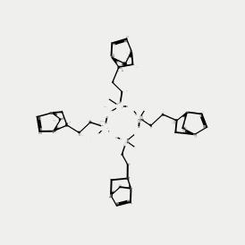 C[Si]1(CCC2CC3C=CC2C3)O[Si](C)(CCC2CC3C=CC2C3)O[Si](C)(CCC2CC3C=CC2C3)O[Si](C)(CCC2CC3C=CC2C3)O1